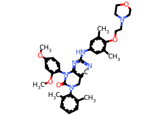 COc1ccc(N2C(=O)N(c3c(C)cccc3C)Cc3cnc(Nc4cc(C)c(OCCN5CCOCC5)c(C)c4)nc32)c(OC)c1